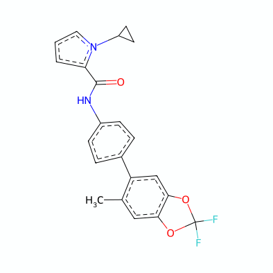 Cc1cc2c(cc1-c1ccc(NC(=O)c3cccn3C3CC3)cc1)OC(F)(F)O2